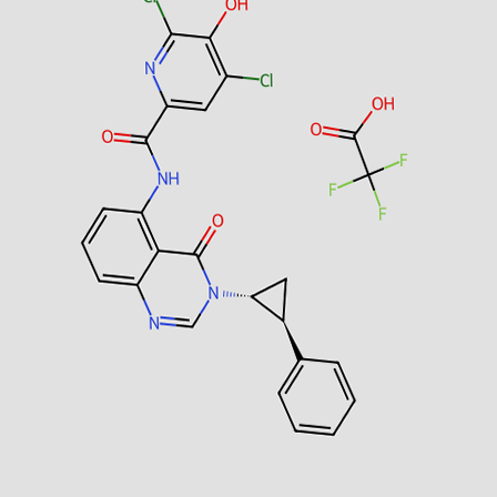 O=C(Nc1cccc2ncn([C@@H]3C[C@H]3c3ccccc3)c(=O)c12)c1cc(Cl)c(O)c(Cl)n1.O=C(O)C(F)(F)F